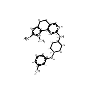 Cc1nc2c(n1C)-c1nc(NC3CCN(Sc4cccc(C#N)c4)CC3)ncc1CC2